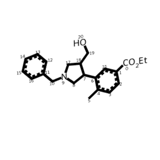 CCOC(=O)c1ccc(C)c(C2CN(Cc3ccccc3)CC2CO)c1